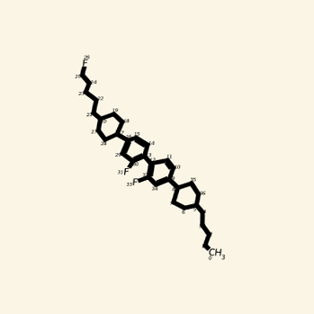 CCCCCC1CCC(c2ccc(-c3ccc(C4CCC(CCCCCF)CC4)cc3F)c(F)c2)CC1